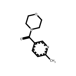 Cc1ccc(C(=O)N2CCOCC2)cn1